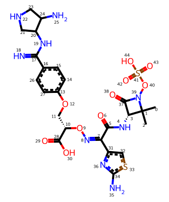 CC1(C)[C@H](NC(=O)C(=NO[C@@H](COc2ccc(C(=N)NC3CNCC3N)cc2)C(=O)O)c2csc(N)n2)C(=O)N1OS(=O)(=O)O